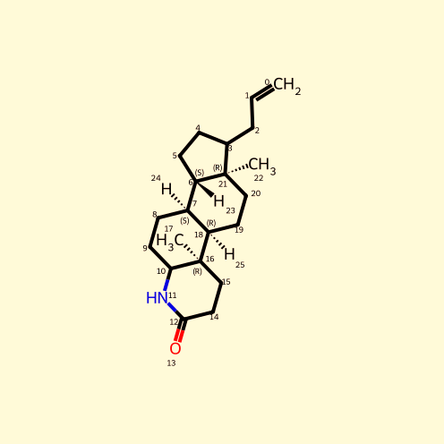 C=CCC1CC[C@H]2[C@@H]3CCC4NC(=O)CC[C@]4(C)[C@@H]3CC[C@]12C